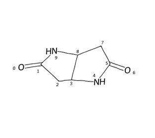 O=C1CC2NC(=O)CC2N1